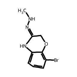 CNN=C1COc2c(Br)cccc2N1